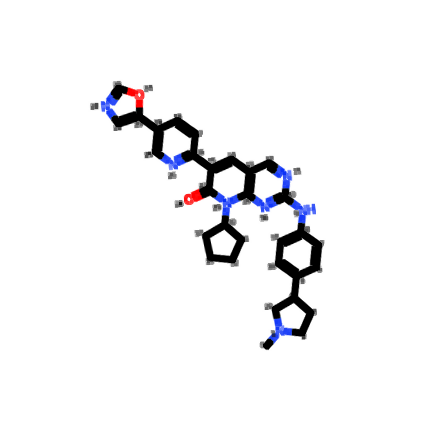 CN1CCC(c2ccc(Nc3ncc4cc(-c5ccc(-c6cnco6)cn5)c(=O)n(C5CCCC5)c4n3)cc2)C1